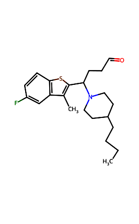 CCCCC1CCN(C(CCC=O)c2sc3ccc(F)cc3c2C)CC1